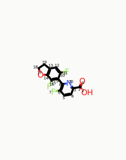 O=C(O)c1ccc(F)c(-c2c(F)cc3c(c2F)OCC3)n1